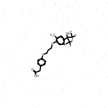 Cc1cc(C(O)(C(F)(F)F)C(F)(F)F)ccc1OCCCOc1ccc(CC(=O)O)cc1